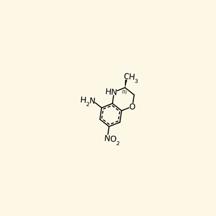 C[C@H]1COc2cc([N+](=O)[O-])cc(N)c2N1